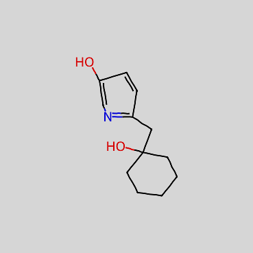 Oc1ccc(CC2(O)CCCCC2)nc1